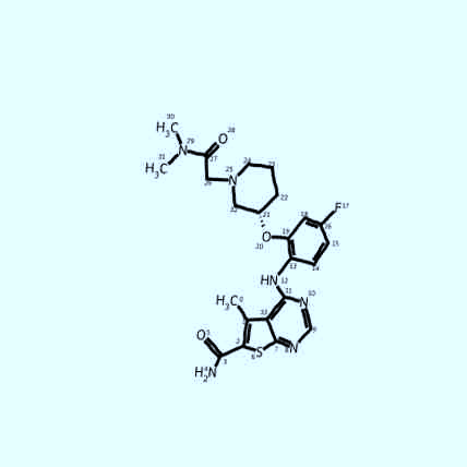 Cc1c(C(N)=O)sc2ncnc(Nc3ccc(F)cc3O[C@H]3CCCN(CC(=O)N(C)C)C3)c12